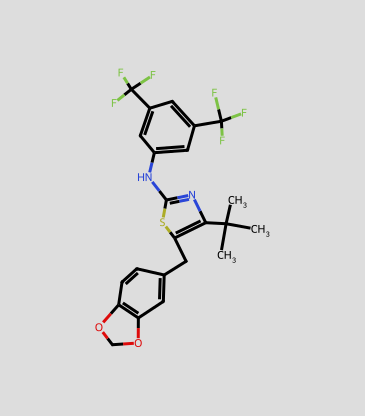 CC(C)(C)c1nc(Nc2cc(C(F)(F)F)cc(C(F)(F)F)c2)sc1Cc1ccc2c(c1)OCO2